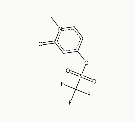 Cn1ccc(OS(=O)(=O)C(F)(F)F)cc1=O